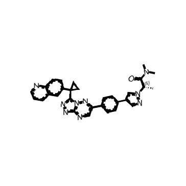 C[C@@H](C(=O)N(C)C)n1cc(-c2ccc(-c3cnc4nnc(C5(c6ccc7ncccc7c6)CC5)n4n3)cc2)cn1